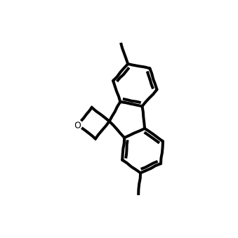 Cc1ccc2c(c1)C1(COC1)c1cc(C)ccc1-2